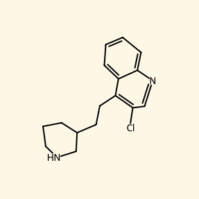 Clc1cnc2ccccc2c1CCC1CCCNC1